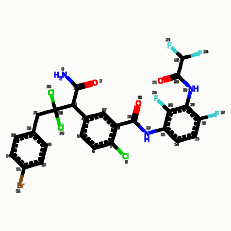 NC(=O)C(c1ccc(Cl)c(C(=O)Nc2ccc(F)c(NC(=O)C(F)F)c2F)c1)C(Cl)(Cl)Cc1ccc(Br)cc1